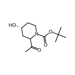 CC(=O)C1C[C@H](O)CCN1C(=O)OC(C)(C)C